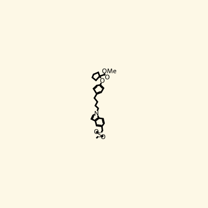 COC(=O)C1(Oc2ccc(CCCCn3ccc4cc(CS(C)(=O)=O)ccc43)cc2)CCCC1